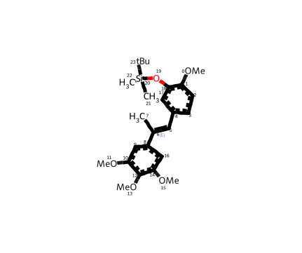 COc1ccc(/C=C(\C)c2cc(OC)c(OC)c(OC)c2)cc1O[Si](C)(C)C(C)(C)C